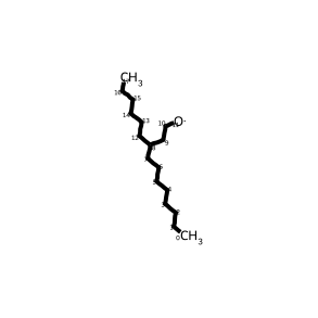 CCCCCCCCC(CC[O])CCCCCC